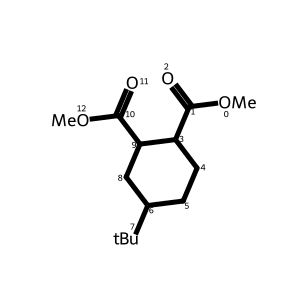 COC(=O)C1CCC(C(C)(C)C)CC1C(=O)OC